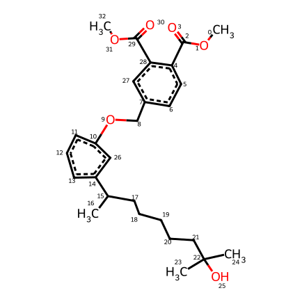 COC(=O)c1ccc(COc2cccc(C(C)CCCCCC(C)(C)O)c2)cc1C(=O)OC